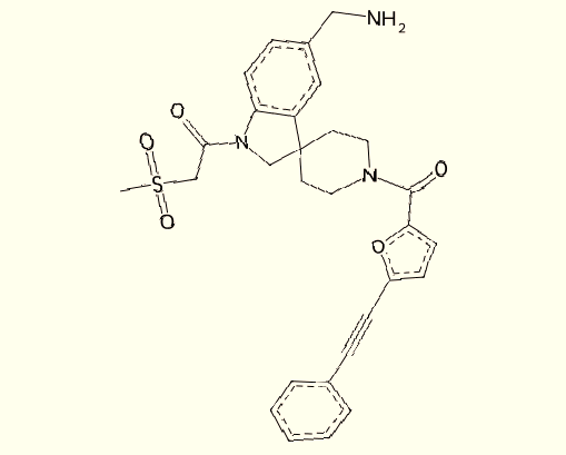 CS(=O)(=O)CC(=O)N1CC2(CCN(C(=O)c3ccc(C#Cc4ccccc4)o3)CC2)c2cc(CN)ccc21